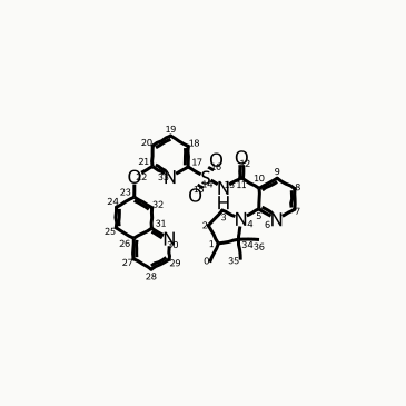 CC1CCN(c2ncccc2C(=O)NS(=O)(=O)c2cccc(Oc3ccc4cccnc4c3)n2)C1(C)C